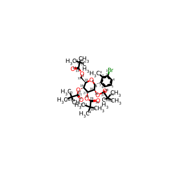 Cc1c(Br)cccc1[C@H]1O[C@H](COC(=O)C(C)(C)C)[C@@H](OC(=O)C(C)(C)C)[C@H](OC(=O)C(C)(C)C)[C@@H]1OC(=O)C(C)(C)C